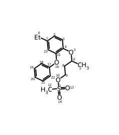 CCc1ccc(OC(C)CCOS(C)(=O)=O)c(Oc2ccccc2)c1